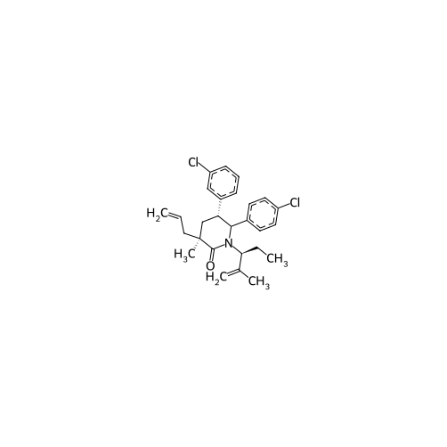 C=CC[C@@]1(C)C[C@H](c2cccc(Cl)c2)C(c2ccc(Cl)cc2)N([C@@H](CC)C(=C)C)C1=O